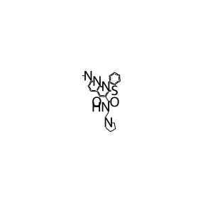 CN(C)c1ccc2c(=O)c(C(=O)NCCN3CCCC3)c3sc4ccccc4n3c2n1